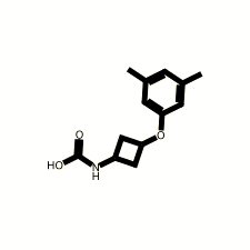 Cc1cc(C)cc(OC2CC(NC(=O)O)C2)c1